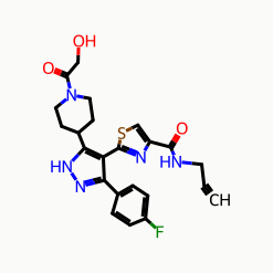 C#CCNC(=O)c1csc(-c2c(-c3ccc(F)cc3)n[nH]c2C2CCN(C(=O)CO)CC2)n1